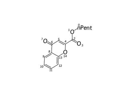 CCCCCOC(=O)c1cc(=O)c2ccccc2o1